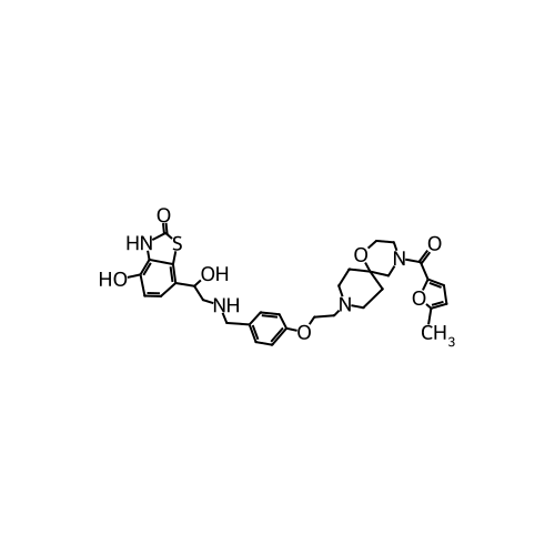 Cc1ccc(C(=O)N2CCOC3(CCN(CCOc4ccc(CNCC(O)c5ccc(O)c6[nH]c(=O)sc56)cc4)CC3)C2)o1